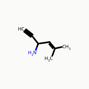 C#CC(N)C=C(C)C